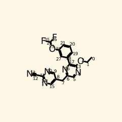 CCOc1ncc(Cc2cnc(C#N)nc2)nc1-c1cccc(OC(F)F)c1